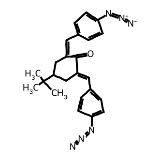 CC(C)(C)C1CC(=Cc2ccc(N=[N+]=[N-])cc2)C(=O)C(=Cc2ccc(N=[N+]=[N-])cc2)C1